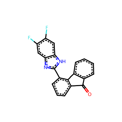 O=C1c2ccccc2-c2c1cccc2-c1nc2cc(F)c(F)cc2[nH]1